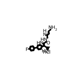 Cl.Cl.NCCC[C@H](N)CNC(=O)c1[nH]c2cc(-c3ccc(F)cc3)ccc2c1C1CC1